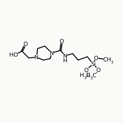 CO[Si](CCCNC(=O)N1CCN(CC(=O)O)CC1)(OC)OC